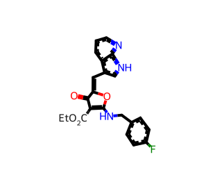 CCOC(=O)C1=C(NCc2ccc(F)cc2)O/C(=C\c2c[nH]c3ncccc23)C1=O